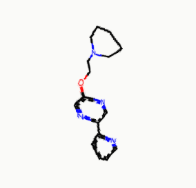 c1ccc(-c2cnc(OCCN3CCCCC3)cn2)nc1